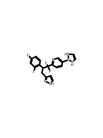 Fc1ccc(C(Cc2cc[nH]n2)C(F)(F)c2ccc(N3NC=CN3)cn2)c(F)c1